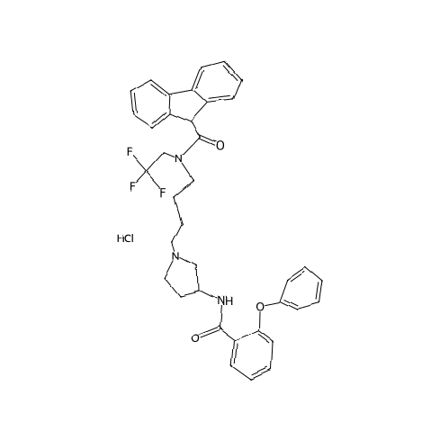 Cl.O=C(NC1CCN(CCCCN(CC(F)(F)F)C(=O)C2c3ccccc3-c3ccccc32)C1)c1ccccc1Oc1ccccc1